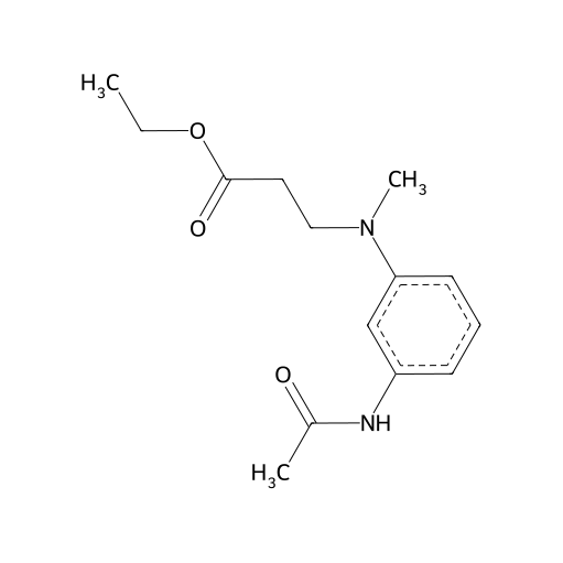 CCOC(=O)CCN(C)c1cccc(NC(C)=O)c1